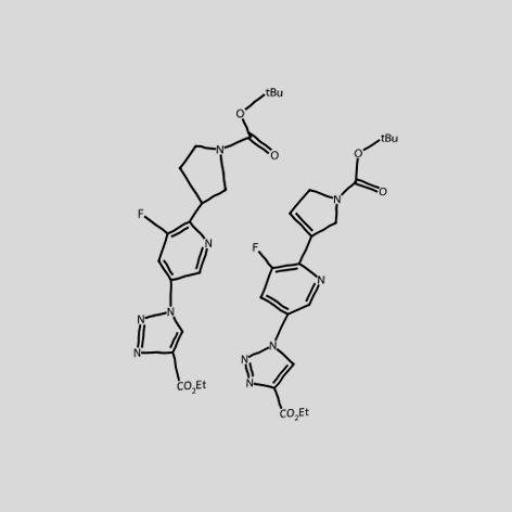 CCOC(=O)c1cn(-c2cnc(C3=CCN(C(=O)OC(C)(C)C)C3)c(F)c2)nn1.CCOC(=O)c1cn(-c2cnc(C3CCN(C(=O)OC(C)(C)C)C3)c(F)c2)nn1